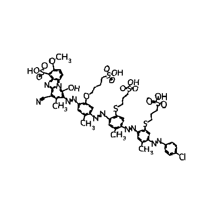 COc1ccc2c(nc3c(C#N)c(C)c(N=Nc4cc(C)c(N=Nc5cc(C)c(N=Nc6cc(C)c(N=Nc7ccc(Cl)cc7)cc6SCCCS(=O)(=O)O)cc5SCCCS(=O)(=O)O)cc4OCCCCS(=O)(=O)O)c(O)n32)c1S(=O)(=O)O